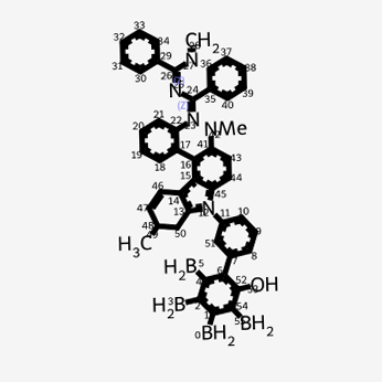 Bc1c(B)c(B)c(-c2cccc(-n3c4c(c5c(-c6ccccc6/N=C(\N=C(/N=C)c6ccccc6)c6ccccc6)c(NC)ccc53)C=CC(C)C4)c2)c(O)c1B